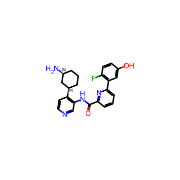 N[C@H]1CCC[C@@H](c2ccncc2NC(=O)c2cccc(-c3cc(O)ccc3F)n2)C1